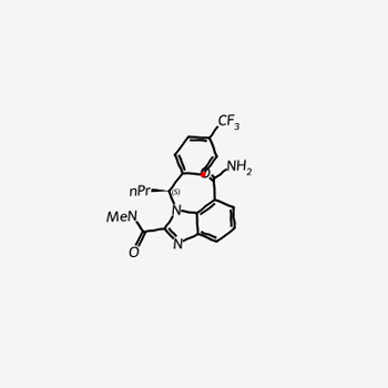 CCC[C@@H](c1ccc(C(F)(F)F)cc1)n1c(C(=O)NC)nc2cccc(C(N)=O)c21